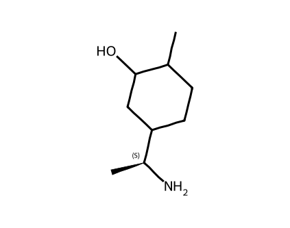 CC1CCC([C@H](C)N)CC1O